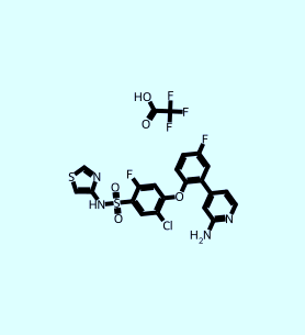 Nc1cc(-c2cc(F)ccc2Oc2cc(F)c(S(=O)(=O)Nc3cscn3)cc2Cl)ccn1.O=C(O)C(F)(F)F